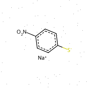 O=[N+]([O-])c1ccc([S-])cc1.[Na+]